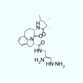 CC[C@H](C)[C@H](C)C(=O)N[C@H]1CCc2cccc3c2N(C1=O)[C@H](C(=O)NC/C(N)=C/NN)C3